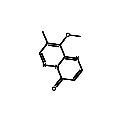 COc1c(C)cnn2c(=O)ccnc12